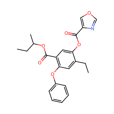 CCc1cc(Oc2ccccc2)c(C(=O)OC(C)CC)cc1OC(=O)c1cocn1